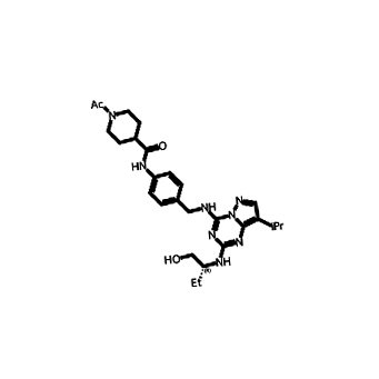 CC[C@H](CO)Nc1nc(NCc2ccc(NC(=O)C3CCN(C(C)=O)CC3)cc2)n2ncc(C(C)C)c2n1